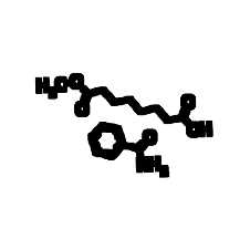 COC(=O)CCCCCCC(=O)O.NC(=O)c1ccccc1